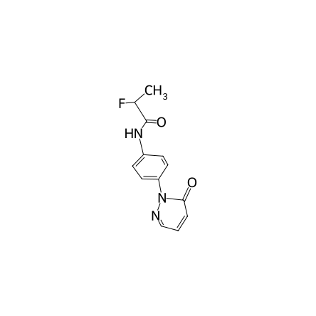 CC(F)C(=O)Nc1ccc(-n2ncccc2=O)cc1